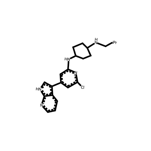 CC(C)CNC1CCC(Nc2cc(-c3c[nH]c4ncccc34)cc(Cl)n2)CC1